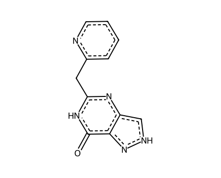 O=c1[nH]c(Cc2ccccn2)nc2c[nH]nc12